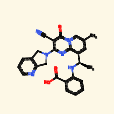 Cc1cc([C@@H](C)Nc2ccccc2C(=O)O)c2nc(N3Cc4cccnc4C3)c(C#N)c(=O)n2c1